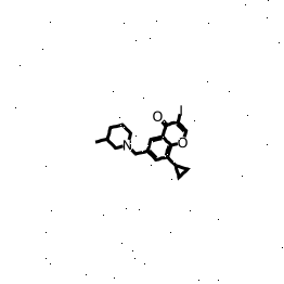 CC1CCCN(Cc2cc(C3CC3)c3occ(I)c(=O)c3c2)C1